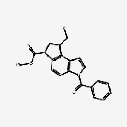 CC(C)(C)OC(=O)N1CC(CCl)c2c1ccc1c2ccn1C(=O)c1ccccc1